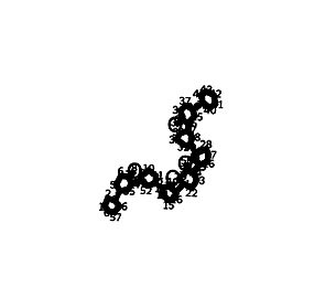 c1ccc(-c2ccc3oc4ccc(-c5cccc6c5oc5c6ccc6c7cccc(-c8ccc9oc%10ccc(-c%11ccccc%11)cc%10c9c8)c7oc65)cc4c3c2)cc1